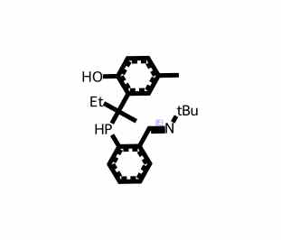 CCC(C)(Pc1ccccc1/C=N/C(C)(C)C)c1cc(C)ccc1O